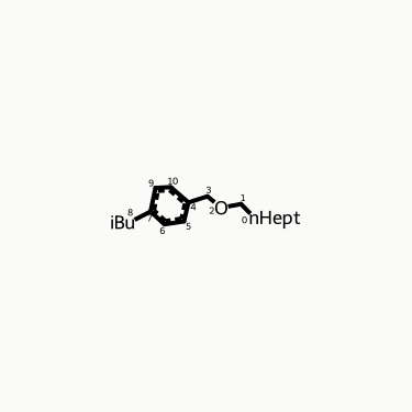 CCCCCCCCOCc1ccc(C(C)CC)cc1